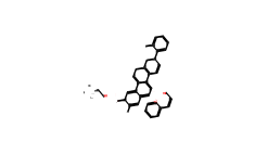 C1=Cc2ccccc2OC1.CC1=Cc2ccc3c(c2=CC1COCC[Si](C)(C)C)=CCC1=C3C=CC(c2ccccc2C)C1